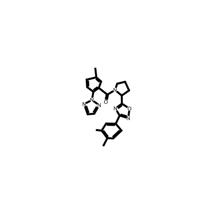 Cc1ccc(-n2nccn2)c(C(=O)N2CCCC2c2nc(-c3ccc(C)c(C)c3)no2)c1